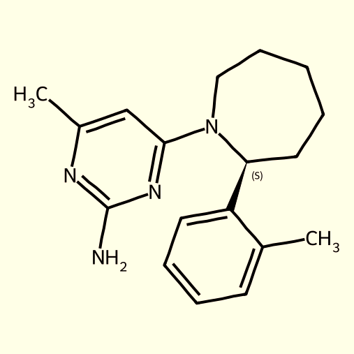 Cc1cc(N2CCCCC[C@H]2c2ccccc2C)nc(N)n1